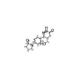 O=C1CC(CO)C(c2ccc(N3CCCC3=O)cc2)=NN1